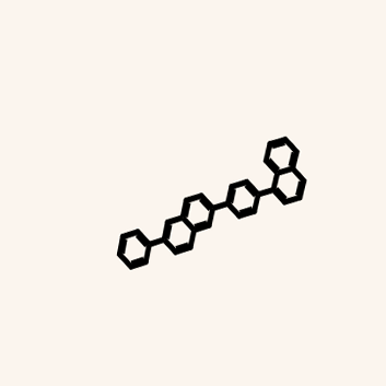 c1ccc(-c2ccc3cc(-c4ccc(-c5cccc6ccccc56)cc4)ccc3c2)cc1